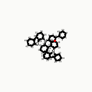 c1ccc(-c2ccc(N(c3ccccc3-c3ccccc3-n3c4ccccc4c4ccccc43)c3cccc4c3oc3ccccc34)cc2)cc1